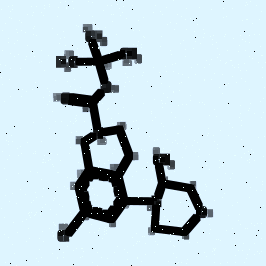 CC1COCCN1c1cc(Cl)cc2c1CCN(C(=O)OC(C)(C)C)C2